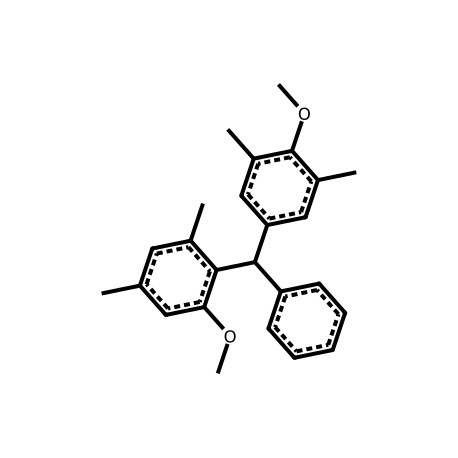 COc1cc(C)cc(C)c1C(c1ccccc1)c1cc(C)c(OC)c(C)c1